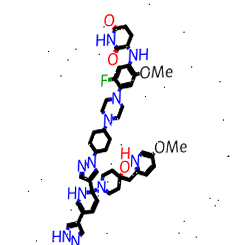 COc1ccc(CC2(O)CCN(C3(c4cnn(C5CCC(N6CCN(c7cc(OC)c(NC8CCC(=O)NC8=O)cc7F)CC6)CC5)c4)C=CC(c4cn[nH]c4)=CN3)CC2)nc1